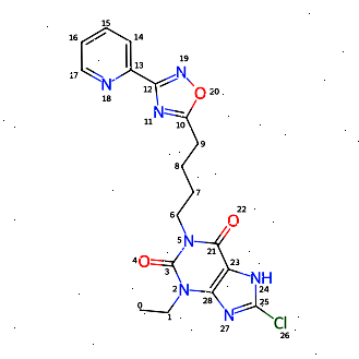 CCn1c(=O)n(CCCCc2nc(-c3ccccn3)no2)c(=O)c2[nH]c(Cl)nc21